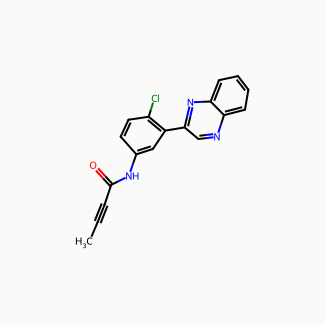 CC#CC(=O)Nc1ccc(Cl)c(-c2cnc3ccccc3n2)c1